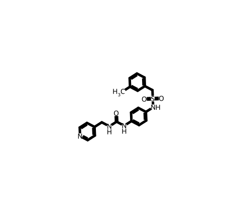 Cc1cccc(CS(=O)(=O)Nc2ccc(NC(=O)NCc3ccncc3)cc2)c1